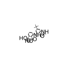 CC(=O)Nc1cc(Nc2cccc(C(=O)O)c2C(=O)O)cc(C(C)(C)C)c1